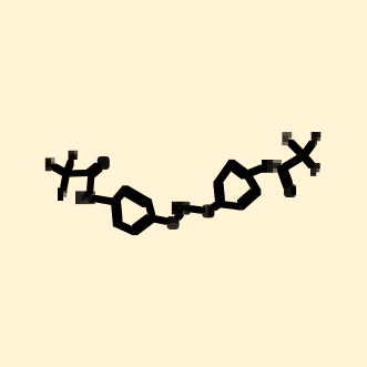 O=C(Nc1ccc(OBOc2ccc(NC(=O)C(F)(F)F)cc2)cc1)C(F)(F)F